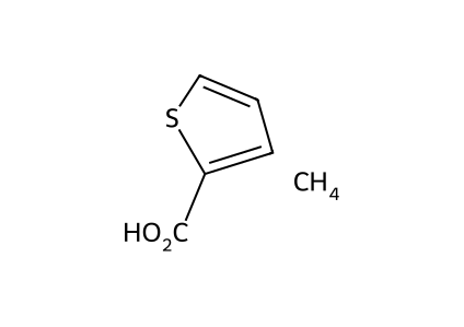 C.O=C(O)c1cccs1